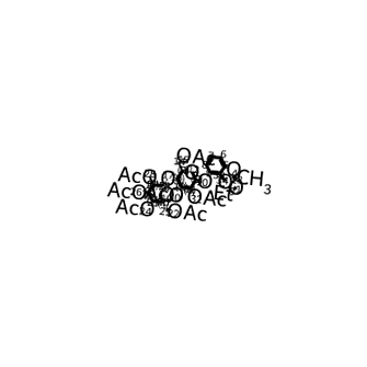 CCOC1(C)Oc2cccc(O[C@@H]3O[C@H](COC(C)=O)[C@@H](O[C@@H]4O[C@H](COC(C)=O)[C@H](OC(C)=O)[C@H](OC(C)=O)[C@H]4OC(C)=O)[C@H](OC(C)=O)[C@H]3OC(C)=O)c2O1